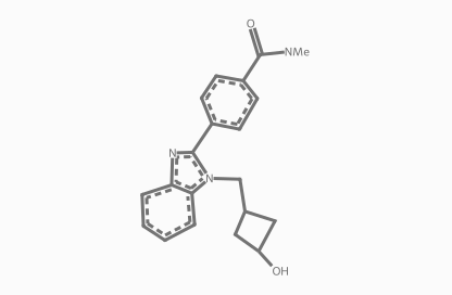 CNC(=O)c1ccc(-c2nc3ccccc3n2CC2CC(O)C2)cc1